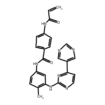 C=CC(=O)Nc1ccc(C(=O)Nc2ccc(C)c(Nc3nccc(-c4cncnc4)n3)c2)cc1